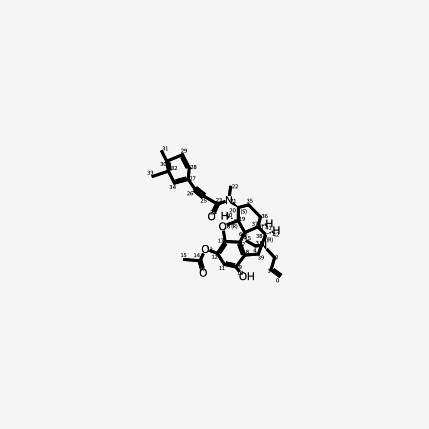 C=CCN1CC[C@]23c4c5c(O)cc(OC(C)=O)c4O[C@H]2[C@@H](N(C)C(=O)C#Cc2ccc(C)c(C)c2)CC[C@H]3[C@H]1C5